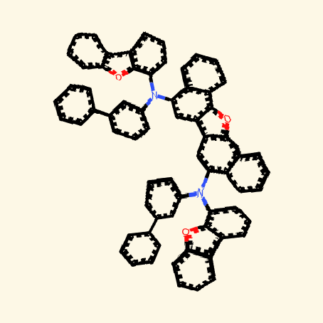 c1ccc(-c2cccc(N(c3cc4c5cc(N(c6cccc(-c7ccccc7)c6)c6cccc7c6oc6ccccc67)c6ccccc6c5oc4c4ccccc34)c3cccc4c3oc3ccccc34)c2)cc1